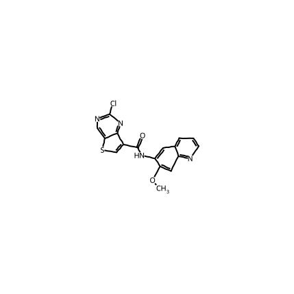 COc1cc2ncccc2cc1NC(=O)c1csc2cnc(Cl)nc12